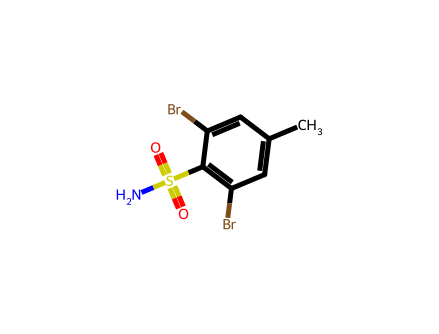 Cc1cc(Br)c(S(N)(=O)=O)c(Br)c1